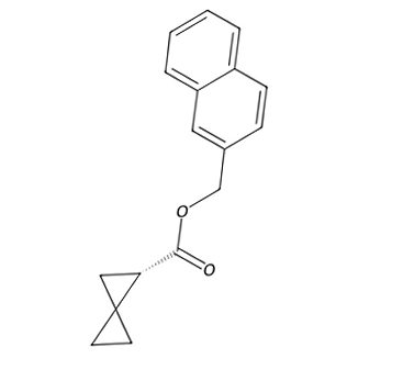 O=C(OCc1ccc2ccccc2c1)[C@H]1CC12CC2